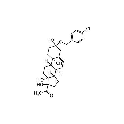 CC(=O)[C@@]1(O)CC[C@H]2[C@@H]3CC=C4CC(O)(OCc5ccc(Cl)cc5)CC[C@]4(C)[C@H]3CC[C@@]21C